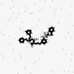 O=C1OC(CCc2ccccc2)(CCc2ccccc2)CC(O)=C1CCCc1cccc(NS(=O)(=O)c2ncc3ccccc3n2)c1